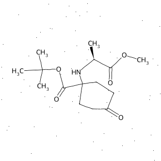 COC(=O)[C@H](C)NC1(C(=O)OC(C)(C)C)CCC(=O)CC1